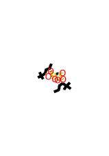 CCCC(OS(=O)(=O)CS(=O)(=O)OC(CCC)C(C)(C)C)C(C)(C)C